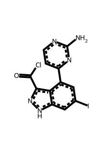 Nc1nccc(-c2cc(I)cc3[nH]nc(C(=O)Cl)c23)n1